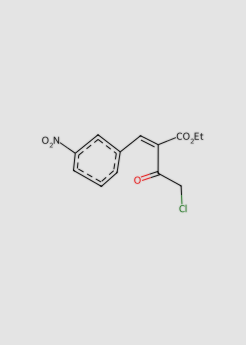 CCOC(=O)C(=Cc1cccc([N+](=O)[O-])c1)C(=O)CCl